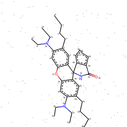 CCCCc1cc2c(cc1N(CC)CC)Oc1cc(N(CC)CC)c(CCCC)cc1C21NC(=O)c2ccccc21